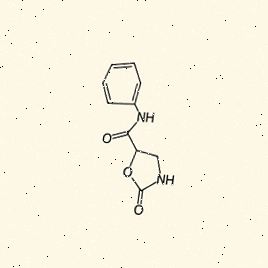 O=C1NCC(C(=O)Nc2ccccc2)O1